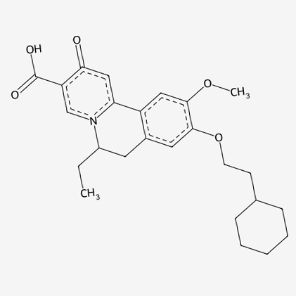 CCC1Cc2cc(OCCC3CCCCC3)c(OC)cc2-c2cc(=O)c(C(=O)O)cn21